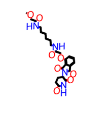 COCC(=O)NCCCCCCNC(=O)COc1cccc2c1C(=O)N(C1CCC(=O)NC1=O)C2=O